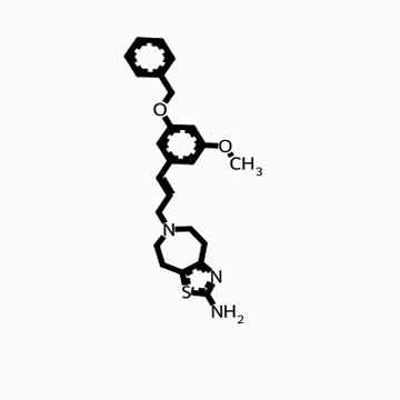 COc1cc(/C=C/CN2CCc3nc(N)sc3CC2)cc(OCc2ccccc2)c1